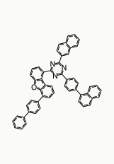 c1ccc(-c2ccc(-c3cccc4c3oc3cccc(-c5nc(-c6ccc(-c7cccc8ccccc78)cc6)nc(-c6ccc7ccccc7c6)n5)c34)cc2)cc1